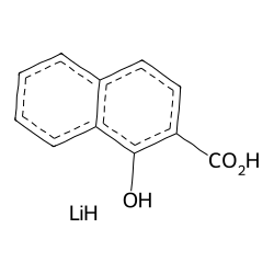 O=C(O)c1ccc2ccccc2c1O.[LiH]